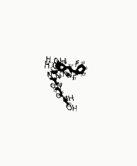 CC1(C)[C@H]2CC[C@@]1(c1cncc(-c3nc(CC(=O)NCCO)co3)n1)c1nnc(-c3c(F)cccc3F)cc12